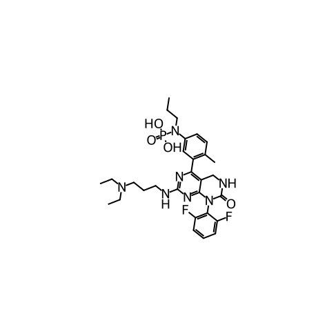 CCCN(c1ccc(C)c(-c2nc(NCCCN(CC)CC)nc3c2CNC(=O)N3c2c(F)cccc2F)c1)P(=O)(O)O